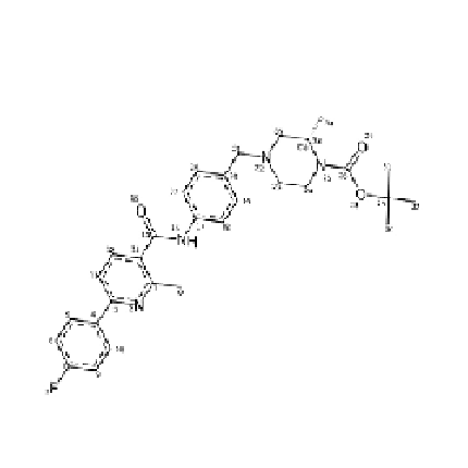 Cc1nc(-c2ccc(F)cc2)ccc1C(=O)Nc1ccc(CN2CCN(C(=O)OC(C)(C)C)[C@@H](C)C2)cc1